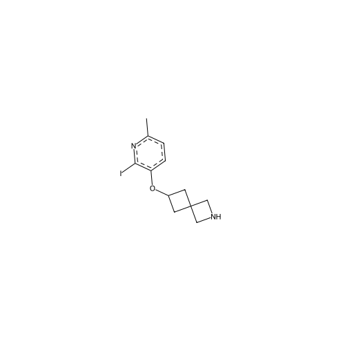 Cc1ccc(OC2CC3(CNC3)C2)c(I)n1